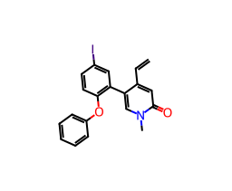 C=Cc1cc(=O)n(C)cc1-c1cc(I)ccc1Oc1ccccc1